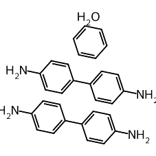 Nc1ccc(-c2ccc(N)cc2)cc1.Nc1ccc(-c2ccc(N)cc2)cc1.O.c1ccccc1